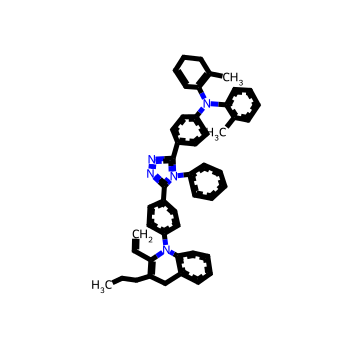 C=CC1=C(CCC)Cc2ccccc2N1c1ccc(-c2nnc(-c3ccc(N(C4=C(C)CCC=C4)c4ccccc4C)cc3)n2-c2ccccc2)cc1